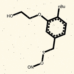 CCCCc1ccc(CSON=O)cc1OCCO